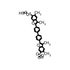 Cc1cc2c(C)c(-c3ccc(-c4ccc(-c5oc6cc(S(=O)(=O)O)c(C)cc6c5C)cc4)cc3)oc2cc1SOOO